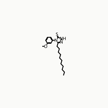 CCCCCCCCCCCc1n[nH]c(=S)n1-c1cccc(OC)c1